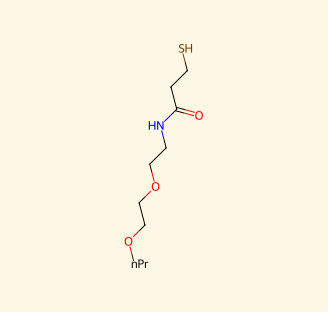 CCCOCCOCCNC(=O)CCS